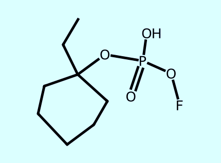 CCC1(OP(=O)(O)OF)CCCCC1